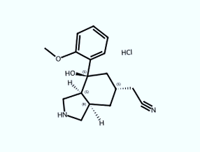 COc1ccccc1[C@]1(O)C[C@H](CC#N)C[C@H]2CNC[C@H]21.Cl